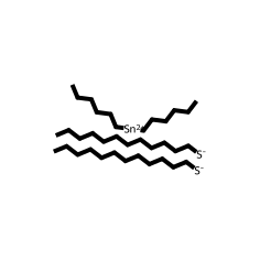 CCCCCCCCCCCC[S-].CCCCCCCCCCCC[S-].CCCCC[CH2][Sn+2][CH2]CCCCC